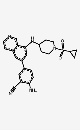 N#Cc1cc(-c2cc(NC3CCN(S(=O)(=O)C4CC4)CC3)c3cnccc3c2)ccc1N